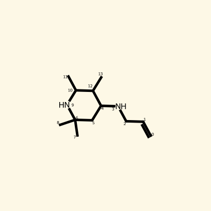 C=CCNC1CC(C)(C)NC(C)C1C